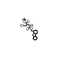 CC(C)(C)OC(=O)C(CCl)NC(=O)OCc1cccc2c1Cc1ccccc1-2